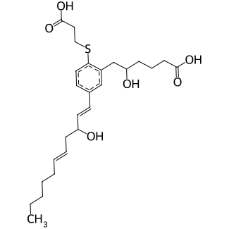 CCCCCC=CCC(O)C=Cc1ccc(SCCC(=O)O)c(CC(O)CCCC(=O)O)c1